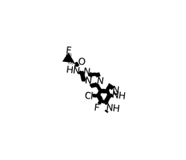 CNc1c(F)c(Cl)c(-c2cn3cc(NC(=O)[C@@H]4C[C@@H]4F)nc3cn2)c2cn[nH]c12